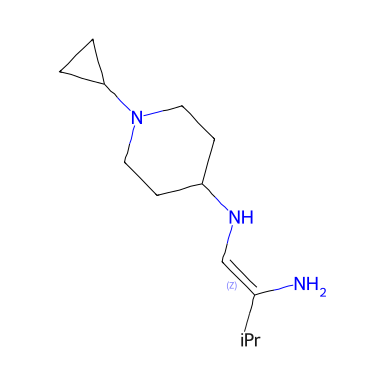 CC(C)/C(N)=C/NC1CCN(C2CC2)CC1